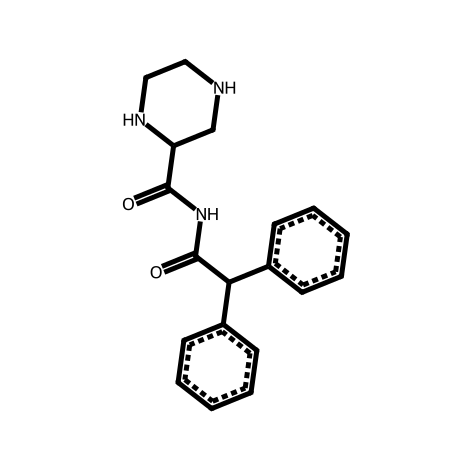 O=C(NC(=O)C(c1ccccc1)c1ccccc1)C1CNCCN1